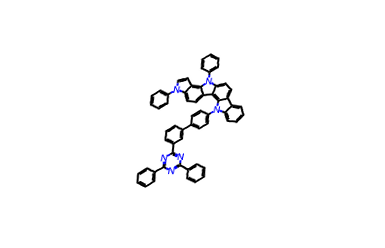 c1ccc(-c2nc(-c3ccccc3)nc(-c3cccc(-c4ccc(-n5c6ccccc6c6ccc7c(c8ccc9c(ccn9-c9ccccc9)c8n7-c7ccccc7)c65)cc4)c3)n2)cc1